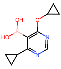 OB(O)c1c(OC2CC2)ncnc1C1CC1